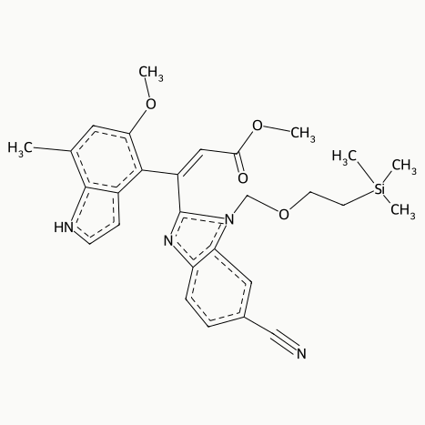 COC(=O)C=C(c1c(OC)cc(C)c2[nH]ccc12)c1nc2ccc(C#N)cc2n1COCC[Si](C)(C)C